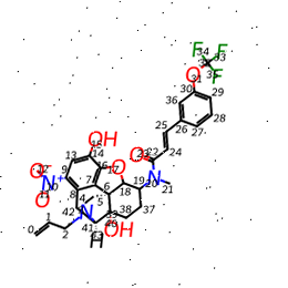 C=CCN1CC[C@]23c4c5c([N+](=O)[O-])cc(O)c4OC2C(N(C)C(=O)/C=C/c2cccc(OC(F)(F)F)c2)CC[C@@]3(O)[C@H]1C5